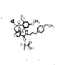 CCN1CCN(CCCNC(=O)c2coc(CN(C3CC3)S(=O)(=O)c3c(C)cc(OC)cc3C)n2)CC1.O=C(O)C(F)(F)F